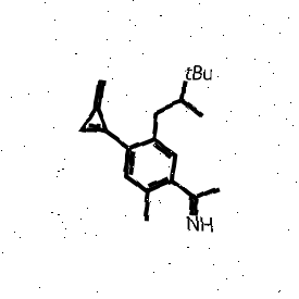 C=C1C=C1c1cc(C)c(C(C)=N)cc1CC(C)C(C)(C)C